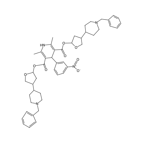 CC1=C(C(=O)OC2CC(C3CCN(Cc4ccccc4)CC3)CO2)C(c2cccc([N+](=O)[O-])c2)C(C(=O)OC2CC(C3CCN(Cc4ccccc4)CC3)CO2)=C(C)N1